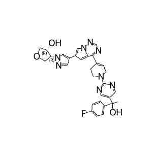 CC(O)(c1ccc(F)cc1)c1cnc(N2CC=C(c3ncnn4cc(-c5cnn([C@@H]6COC[C@@H]6O)c5)cc34)CC2)nc1